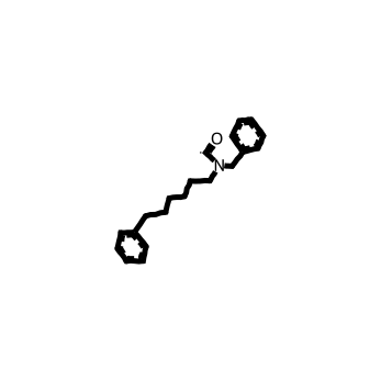 O=[C]N(CCCCCCc1ccccc1)Cc1ccccc1